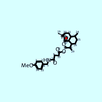 COc1ccc(CNC(=O)CCC(=O)O[C@@H]2O[C@@H]3O[C@@]4(C)CCC5C(C)CCC(C2C)[C@]53OO4)cc1